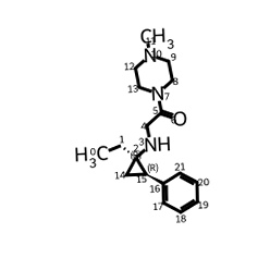 CC[C@@]1(NCC(=O)N2CCN(C)CC2)C[C@@H]1c1ccccc1